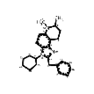 CC1CCc2c(ccc3c2nc(Cc2ccccc2)n3C2CCCCC2)N1C